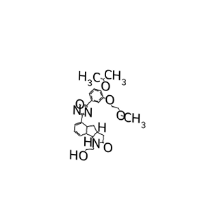 COCCOc1cc(-c2nc(C3=CC=CC4C3C[C@H]3CC(=O)N(CCO)[C@@H]43)no2)ccc1OC(C)C